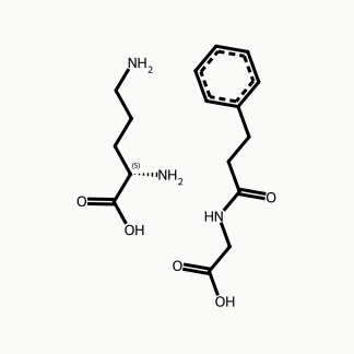 NCCC[C@H](N)C(=O)O.O=C(O)CNC(=O)CCc1ccccc1